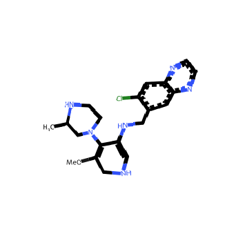 COC1=C(N2CCNC(C)C2)C(NCc2cc3nccnc3cc2Cl)=CNC1